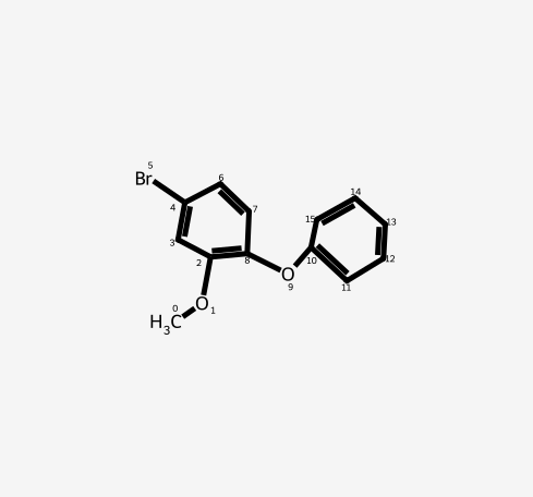 COc1cc(Br)ccc1Oc1ccccc1